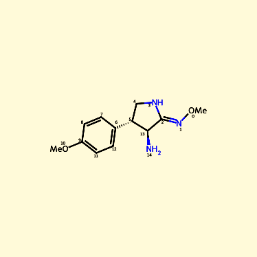 CO/N=C1\NC[C@@H](c2ccc(OC)cc2)[C@@H]1N